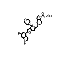 CC(C)(C)OC(=O)N1CCC2CN(Cc3cc4sc(-c5cc(F)cc6[nH]ccc56)cc4c(N4CCOCC4)n3)CCC21